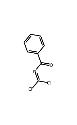 O=C(N=C(Cl)Cl)c1ccccc1